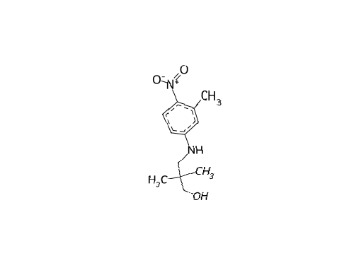 Cc1cc(NCC(C)(C)CO)ccc1[N+](=O)[O-]